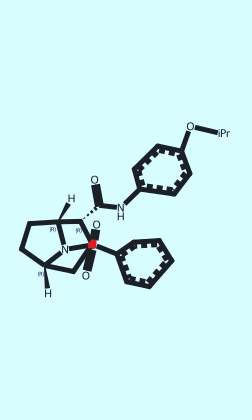 CC(C)Oc1ccc(NC(=O)[C@@H]2CC[C@@H]3CC[C@H]2N3S(=O)(=O)c2ccccc2)cc1